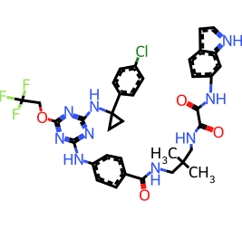 CC(C)(CNC(=O)C(=O)Nc1ccc2cc[nH]c2c1)CNC(=O)c1ccc(Nc2nc(NC3(c4ccc(Cl)cc4)CC3)nc(OCC(F)(F)F)n2)cc1